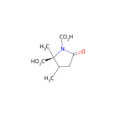 CC1CC(=O)N(C(=O)O)[C@]1(C)C(=O)O